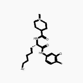 CC(=O)CCCCC[C@H](NC(=O)C1CCN(C)CC1)C(=O)Nc1ccc(F)c(Cl)c1